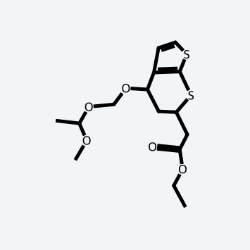 CCOC(=O)CC1CC(OCOC(C)OC)c2ccsc2S1